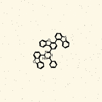 c1ccc(C2=NC(c3ccc(-c4cccc5sc6ccccc6c45)c4oc5ccccc5c34)=NC(c3cccc4oc5ccccc5c34)N2)cc1